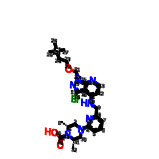 C[C@@H]1CN(c2cccc(CNc3ccnc4c3c(Br)nn4COCC[Si](C)(C)C)n2)C[C@H](C)N1C(=O)O